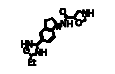 CCC1NC(c2ccc3c(c2)CC[C@H]3NC(=O)C2CNCO2)NO1